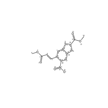 COC(=O)C=Cc1cc2sc(C(=O)OC)cc2cc1[N+](=O)[O-]